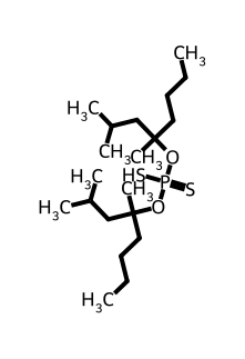 CCCCC(C)(CC(C)C)OP(=S)(S)OC(C)(CCCC)CC(C)C